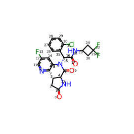 O=C1CCC(C(=O)N(c2cncc(F)c2)[C@@H](C(=O)NC2CC(F)(F)C2)c2ccccc2Cl)N1